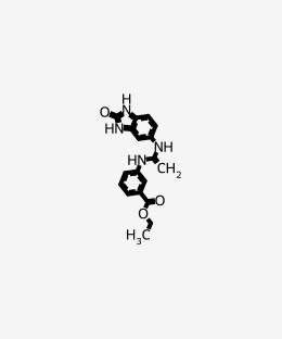 C=C(Nc1cccc(C(=O)OCC)c1)Nc1ccc2[nH]c(=O)[nH]c2c1